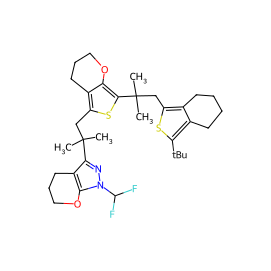 CC(C)(C)c1sc(CC(C)(C)c2sc(CC(C)(C)c3nn(C(F)F)c4c3CCCO4)c3c2OCCC3)c2c1CCCC2